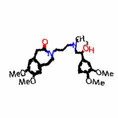 COc1ccc(C(O)CN(C)CCCN2CCc3cc(OC)c(OC)cc3CC2=O)cc1OC